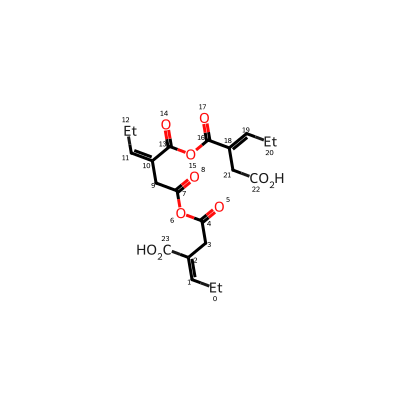 CCC=C(CC(=O)OC(=O)CC(=CCC)C(=O)OC(=O)C(=CCC)CC(=O)O)C(=O)O